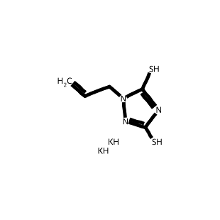 C=CCn1nc(S)nc1S.[KH].[KH]